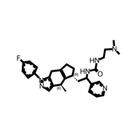 C[C@@H]1C2=C(CC[C@@H]2CC(NC(=O)NCCN(C)C)c2cccnc2)Cc2c1cnn2-c1ccc(F)cc1